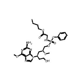 CCCCOC(=O)CNP(=O)(OCC(CC(CCO)n1cnc2c(OC)nc(N)nc21)OC)Oc1ccccc1